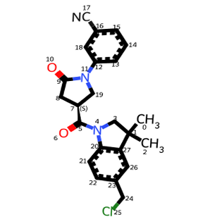 CC1(C)CN(C(=O)[C@H]2CC(=O)N(c3cccc(C#N)c3)C2)c2ccc(CCl)cc21